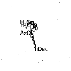 CCCCCCCCCCCCCCCCOCC(COP1(=O)OC2CC[N+](C)(C)C2O1)OC(C)=O